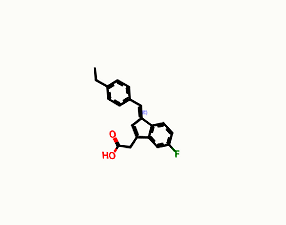 CCc1ccc(/C=C2\C=C(CC(=O)O)c3cc(F)ccc32)cc1